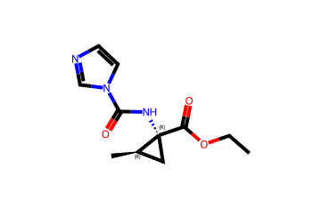 CCOC(=O)[C@@]1(NC(=O)n2ccnc2)C[C@H]1C